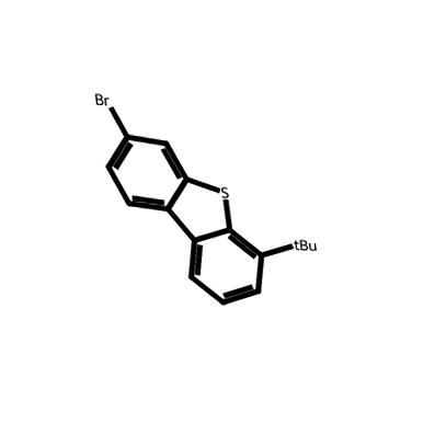 CC(C)(C)c1cccc2c1sc1cc(Br)ccc12